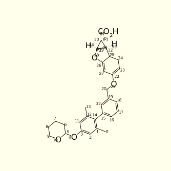 Cc1cc(OC2CCCCO2)cc(C)c1-c1cccc(COC2=CCC3C(=C2)O[C@H]2[C@H](C(=O)O)[C@@H]32)c1